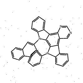 c1ccc(-n2c3ccccc3c3c4cncnc4c4c5ccccc5n(-c5cc6ccccc6cn5)c4c32)cc1